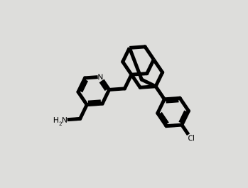 NCc1ccnc(CC23CC4CC(C2)CC(c2ccc(Cl)cc2)(C4)C3)c1